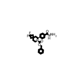 NNC(=O)c1ccc([C@@H]2CC3(CCN2C(=O)OCc2ccccc2)CC(F)(F)C3)cc1